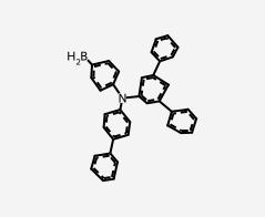 Bc1ccc(N(c2ccc(-c3ccccc3)cc2)c2cc(-c3ccccc3)cc(-c3ccccc3)c2)cc1